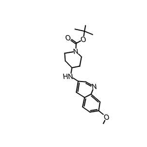 COc1ccc2cc(NC3CCN(C(=O)OC(C)(C)C)CC3)cnc2c1